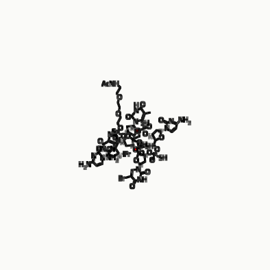 CC(=O)NCCOCCOCCOP(=S)(OCC1O[C@@H](n2ccc(N)nc2=O)C[C@H]1C(C)C)O[C@@H]1C[C@H](n2cc(C)c(=O)[nH]c2=O)OC1COP(=O)(S)O[C@@H]1C[C@H](n2cnc3c(=O)[nH]c(N)nc32)OC1COP(=O)(S)O[C@@H]1C[C@H](n2ccc(N)nc2=O)OC1COP(=O)(S)O[C@@H]1C[C@H](n2cc(Br)c(=O)[nH]c2=O)OC1CO